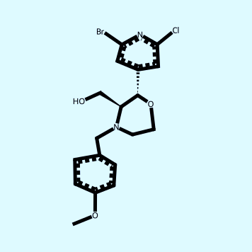 COc1ccc(CN2CCO[C@@H](c3cc(Cl)nc(Br)c3)[C@@H]2CO)cc1